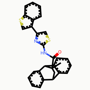 CC1(C(=O)Nc2nc(-c3csc4ccccc34)cs2)CC2c3ccccc3C1c1ccccc12